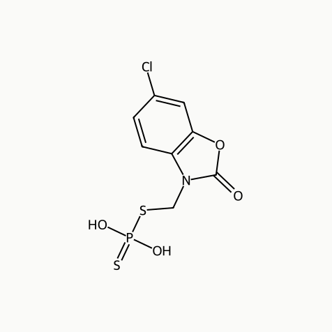 O=c1oc2cc(Cl)ccc2n1CSP(O)(O)=S